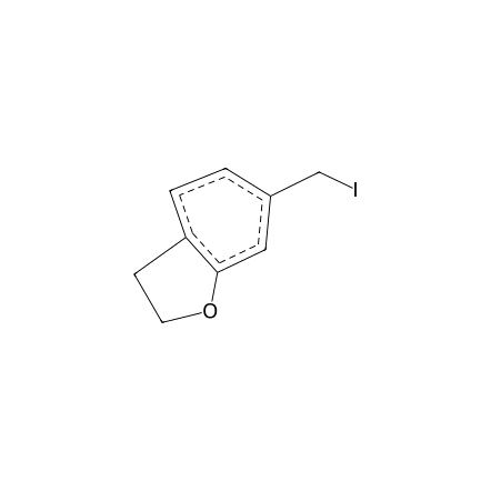 ICc1ccc2c(c1)OCC2